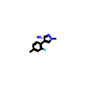 Cc1ccc(-c2cnn(C)c2)c(F)c1.N